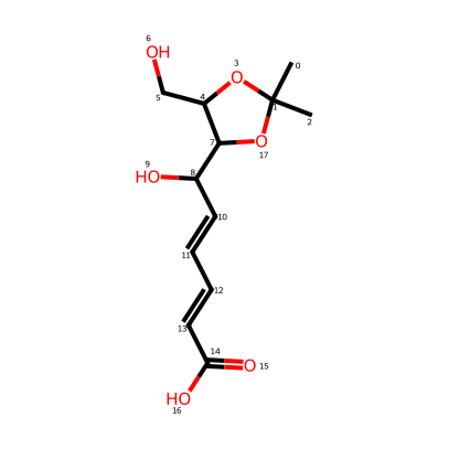 CC1(C)OC(CO)C(C(O)C=CC=CC(=O)O)O1